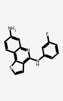 Nc1ccc2c(c1)nc(Nc1cccc(F)c1)c1ccsc12